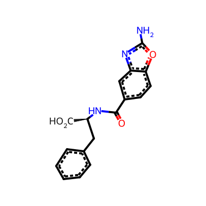 Nc1nc2cc(C(=O)N[C@@H](Cc3ccccc3)C(=O)O)ccc2o1